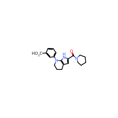 O=C(O)c1cccc(N2CCCc3cc(C(=O)N4CCCCC4)[nH]c32)c1